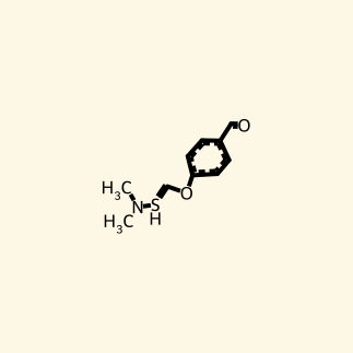 CN(C)[SH]=COc1ccc(C=O)cc1